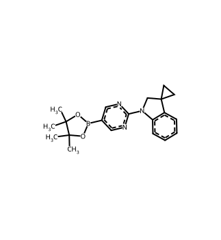 CC1(C)OB(c2cnc(N3CC4(CC4)c4ccccc43)nc2)OC1(C)C